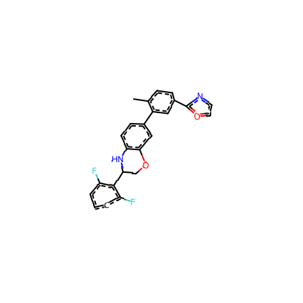 Cc1ccc(-c2ncco2)cc1-c1ccc2c(c1)OCC(c1c(F)cccc1F)N2